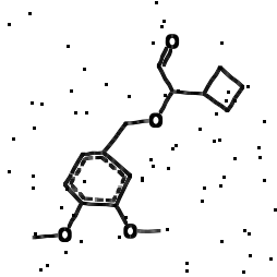 COc1ccc(COC(C=O)C2CCC2)cc1OC